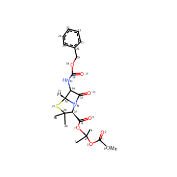 COC(=O)OC(C)(C)OC(=O)[C@@H]1N2C(=O)C(NC(=O)OCc3ccccc3)[C@H]2SC1(C)C